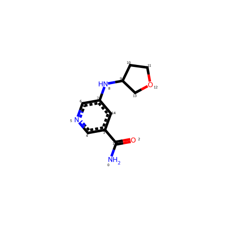 NC(=O)c1cncc(NC2CCOC2)c1